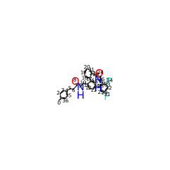 Cc1ccc(CCC(=O)NCc2ccccc2-c2ccccc2C(=O)NCc2ccc(F)cc2F)cc1